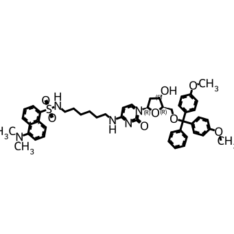 COc1ccc(C(OC[C@H]2O[C@@H](n3ccc(NCCCCCCNS(=O)(=O)c4cccc5c(N(C)C)cccc45)nc3=O)C[C@@H]2O)(c2ccccc2)c2ccc(OC)cc2)cc1